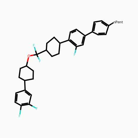 CCCCCc1ccc(-c2ccc(C3CCC(C(F)(F)OC4CCC(c5ccc(F)c(F)c5)CC4)CC3)c(F)c2)cc1